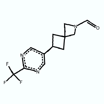 O=CN1CC2(CC(c3cnc(C(F)(F)F)nc3)C2)C1